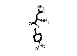 NC(=O)C[C@@H](N)C(=O)OCc1ccc([N+](=O)[O-])cc1